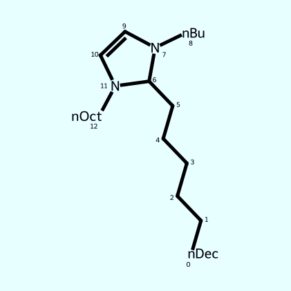 CCCCCCCCCCCCCCCC1N(CCCC)C=CN1CCCCCCCC